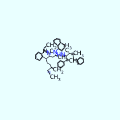 C=CC1=NC(CC(=C)N(C)c2c(NC(C(=C)c3ccccc3)C(C)[C@H](C)Cc3ccccc3)ccc3ccccc23)C(CCC(=C)/C=C\C)c2ccccc21